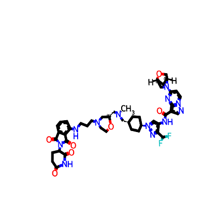 CN(C[C@H]1CN(CCCNc2cccc3c2C(=O)N(C2CCC(=O)NC2=O)C3=O)CCO1)C[C@H]1CC[C@H](n2cc(NC(=O)c3cnn4ccc(N5C[C@H]6C[C@@H]5CO6)nc34)c(C(F)F)n2)CC1